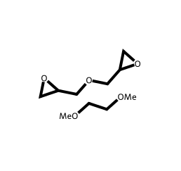 C(OCC1CO1)C1CO1.COCCOC